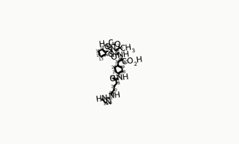 CC1OC(C)N(S(=O)(=O)c2ccccc2)[C@@H]1C(=O)N[C@@H](Cc1ccc(NC(=O)CCCCNC2=NCCN2)cc1)C(=O)O